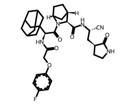 N#C[C@H](C[C@@H]1CCNC1=O)NC(=O)[C@@H]1[C@H]2CC[C@H](C2)N1C(=O)[C@@H](NC(=O)COc1ccc(F)cc1)C12CC3CC(CC(C3)C1)C2